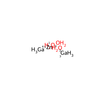 O.O.O.[GaH3].[GaH3].[Zn]